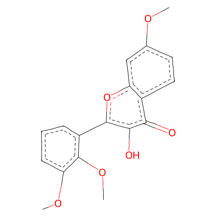 COc1ccc2c(=O)c(O)c(-c3cccc(OC)c3OC)oc2c1